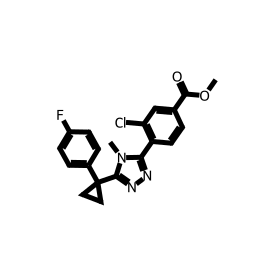 COC(=O)c1ccc(-c2nnc(C3(c4ccc(F)cc4)CC3)n2C)c(Cl)c1